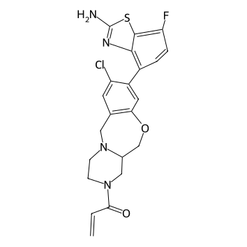 C=CC(=O)N1CCN2Cc3cc(Cl)c(-c4ccc(F)c5sc(N)nc45)cc3OCC2C1